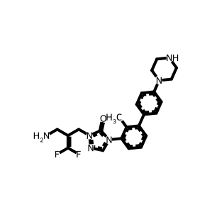 Cc1c(-c2ccc(N3CCNCC3)cc2)cccc1-n1cnn(CC(CN)=C(F)F)c1=O